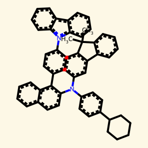 CC1(C)c2ccccc2-c2cc(N(c3ccc(C4CCCCC4)cc3)c3ccc4ccccc4c3-c3ccc(-n4c5ccccc5c5ccccc54)cc3)ccc21